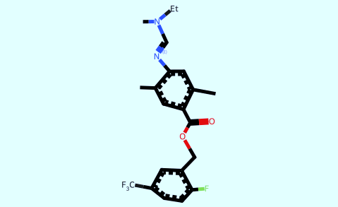 CCN(C)/C=N/c1cc(C)c(C(=O)OCc2cc(C(F)(F)F)ccc2F)cc1C